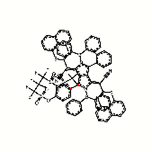 Cc1ccccc1-c1c2/c(=C(\C#N)C3=Nc4cccc5cccc(c45)S3)n(B(c3ccccc3)c3ccccc3)c(-c3ccc(OS(=O)(=O)C(F)(F)C(F)(F)C(F)(F)S(=O)(=O)NS(=O)(=O)C(F)(F)F)cc3)c2/c(=C(\C#N)C2=Nc3cccc4cccc(c34)S2)n1B(c1ccccc1)c1ccccc1